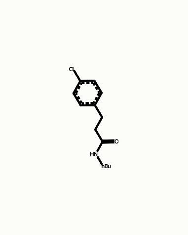 CCCCNC(=O)CCc1ccc(Cl)cc1